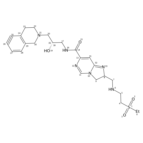 CCS(=O)(=O)CCNCC1CN2C=NC(C(=O)NC[C@H](O)CN3CCc4c#cccc4C3)=CC2=N1